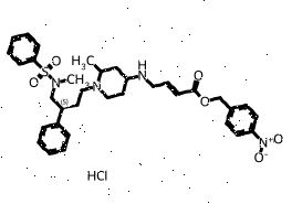 CC1CC(NCC=CC(=O)OCc2ccc([N+](=O)[O-])cc2)CCN1CC[C@H](CN(C)S(=O)(=O)c1ccccc1)c1ccccc1.Cl